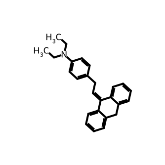 CCN(CC)c1ccc(CC=C2c3ccccc3Cc3ccccc32)cc1